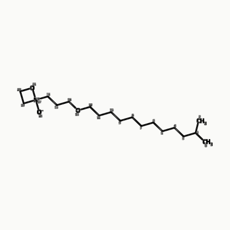 CC(C)CCCCCCCCCCOCCC[N+]1([O-])CCO1